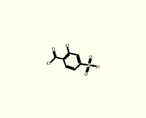 CCS(=O)(=O)c1ccc(C(=O)Cl)c(Cl)c1